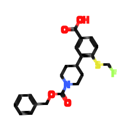 O=C(O)c1ccc(SCF)c(C2CCN(C(=O)OCc3ccccc3)CC2)c1